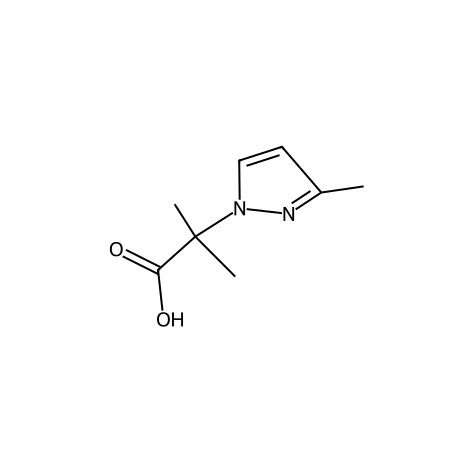 Cc1ccn(C(C)(C)C(=O)O)n1